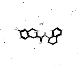 Cl.O=C(N[C@@H]1CCCc2ccccc21)C1Cc2ccc(O)cc2CN1